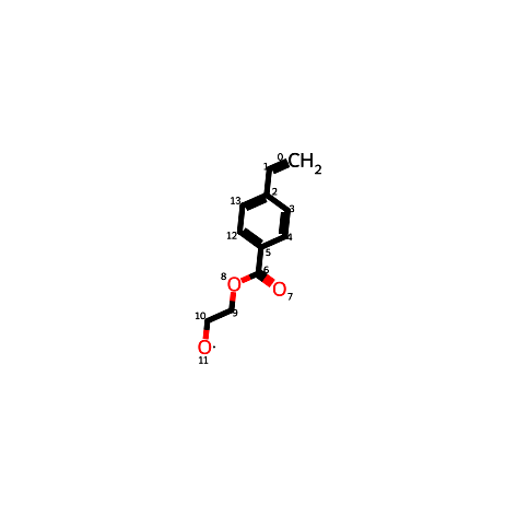 C=Cc1ccc(C(=O)OCC[O])cc1